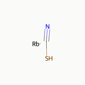 N#CS.[Rb]